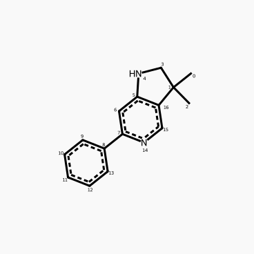 CC1(C)CNc2cc(-c3ccccc3)ncc21